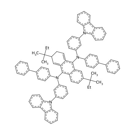 CCC(C)(C)c1ccc2c(N(c3ccc(-c4ccccc4)cc3)c3cccc(-n4c5ccccc5c5ccccc54)c3)c3c(c(N(c4ccc(-c5ccccc5)cc4)c4cccc(-n5c6ccccc6c6ccccc65)c4)c2c1)=CCC(C(C)(C)CC)C=3